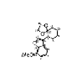 COc1cccc2c(C3CCCCC34OCCO4)coc12